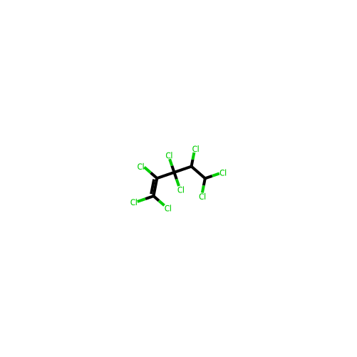 ClC(Cl)=C(Cl)C(Cl)(Cl)C(Cl)C(Cl)Cl